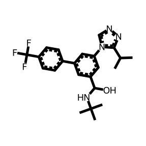 CC(C)c1nncn1-c1cc(-c2ccc(C(F)(F)F)cc2)cc(C(O)NC(C)(C)C)c1